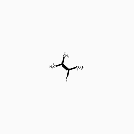 CC(C)=C(F)C(=O)O